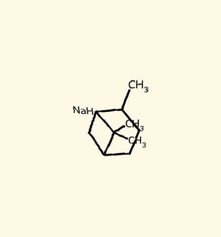 CC1CCC2CC1C2(C)C.[NaH]